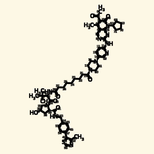 CC(=O)c1c(C)c2cnc(Nc3ccc(N4CCN(C(=O)CCCCCCCC(=O)N[C@H](C(=O)N5C[C@H](O)C[C@H]5C(=O)NCc5ccc(-c6scnc6C)cc5)C(C)(C)C)CC4)cn3)nc2n(C2CCCC2)c1=O